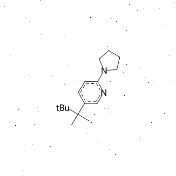 CC(C)(C)C(C)(C)c1ccc(N2CCCC2)nc1